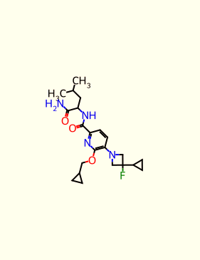 CC(C)CC(NC(=O)c1ccc(N2CC(F)(C3CC3)C2)c(OCC2CC2)n1)C(N)=O